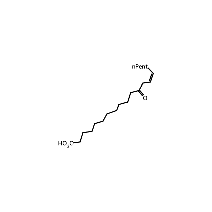 CCCCC/C=C\CC(=O)CCCCCCCCCCC(=O)O